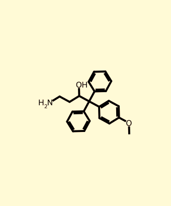 COc1ccc(C(c2ccccc2)(c2ccccc2)C(O)CCN)cc1